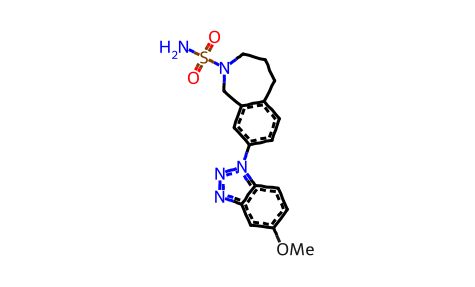 COc1ccc2c(c1)nnn2-c1ccc2c(c1)CN(S(N)(=O)=O)CCC2